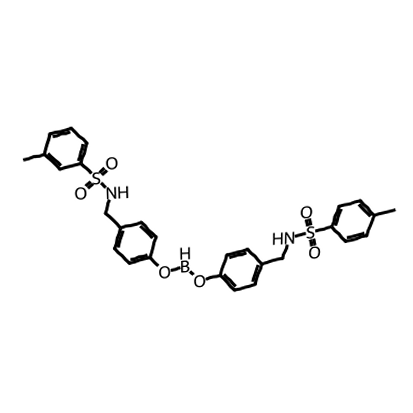 Cc1ccc(S(=O)(=O)NCc2ccc(OBOc3ccc(CNS(=O)(=O)c4cccc(C)c4)cc3)cc2)cc1